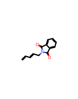 C=CC=CCN1C(=O)c2ccccc2C1=O